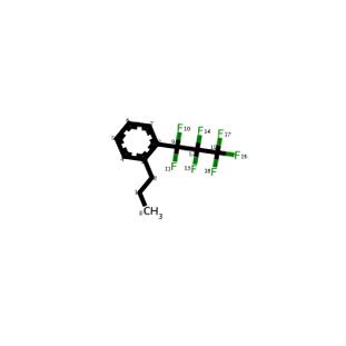 CC[CH]c1ccccc1C(F)(F)C(F)(F)C(F)(F)F